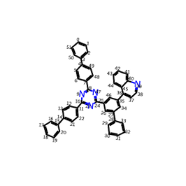 c1ccc(-c2ccc(-c3nc(-c4ccc(-c5ccccc5)cc4)nc(-c4cc(-c5ccccc5)cc(-c5ccnc6ccccc56)c4)n3)cc2)cc1